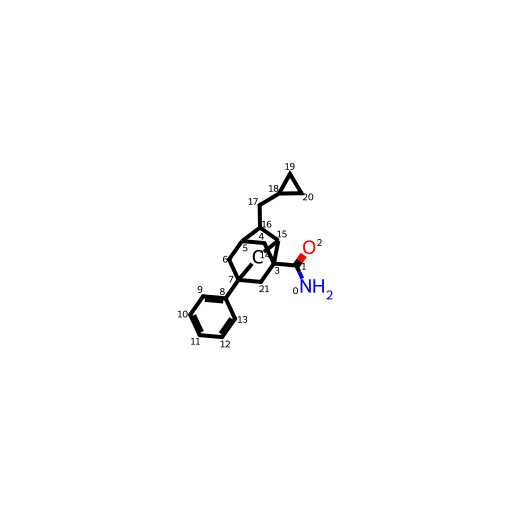 NC(=O)C12CC3CC(c4ccccc4)(CC1C3CC1CC1)C2